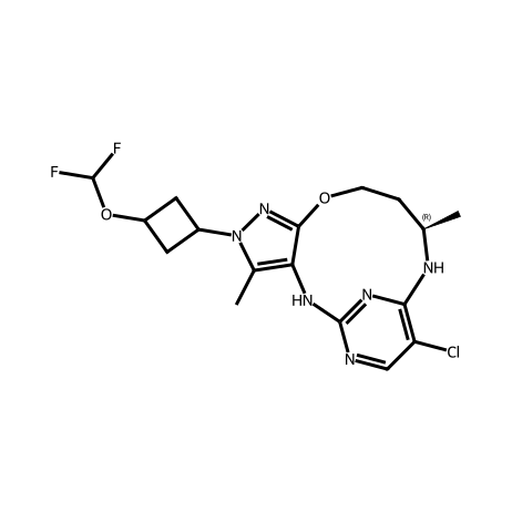 Cc1c2c(nn1C1CC(OC(F)F)C1)OCC[C@@H](C)Nc1nc(ncc1Cl)N2